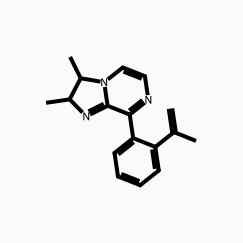 C=C(C)c1ccccc1C1=NC=CN2C1=NC(C)C2C